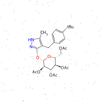 CC(=O)OC[C@H]1O[C@@H](Oc2n[nH]c(C)c2Cc2ccc(C(C)(C)C)cc2)[C@H](OC(C)=O)[C@@H](OC(C)=O)[C@@H]1OC(C)=O